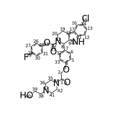 O=C(COc1ccc(C2c3[nH]c4ccc(Cl)cc4c3CCN2C(=O)Oc2ccc(F)cc2)cc1)N1CCN(CCO)CC1